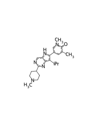 Cc1cc(-c2[nH]c3cnc(C4CCN(C)CC4)nc3c2C(C)C)cn(C)c1=O